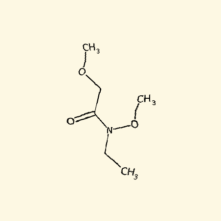 CCN(OC)C(=O)COC